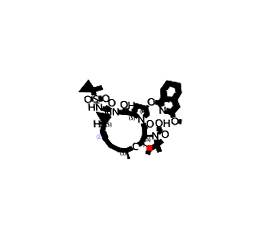 CC[C@@H]1C[C@@H](C)CC/C=C\[C@@H]2C[C@@]2(C(=O)NS(=O)(=O)C2(C)CC2)NC(=O)[C@@H]2C[C@@H](Oc3nc(OC)cc4ccccc34)CN2C(=O)[C@H]1N(C(=O)O)C(C)(C)C